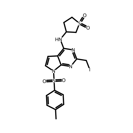 Cc1ccc(S(=O)(=O)n2ccc3c(NC4CCS(=O)(=O)C4)nc(CI)nc32)cc1